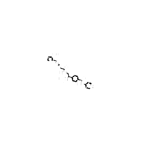 Cc1ccsc1C=NOCC(=O)NCC(N)c1ccc(C(=O)Nc2ccncc2)cc1